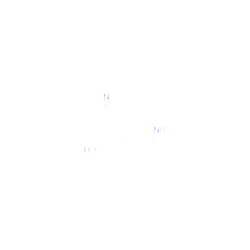 CCC1(CC#N)CCNCC1